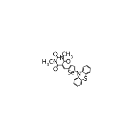 CN1C(=O)C(=Cc2ccc(N3c4ccccc4Sc4ccccc43)[se]2)C(=O)N(C)C1=O